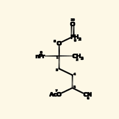 CCCC(C)(CCC(C#N)OC(C)=O)O[PH2]=O